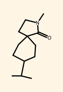 CC(C)C1CCC2(CC1)CCN(C)C2=O